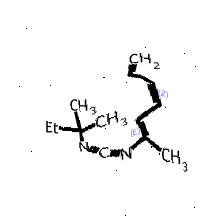 C=C/C=C\C=C(/C)N=C=NC(C)(C)CC